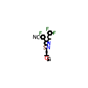 CC(Cc1cc(F)cc(F)c1)c1nc2nc(C#CC(C)(C)O[Si](C)(C)C)sc2cc1-c1ccc(F)c(C#N)c1